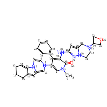 Cn1cc(N2C=Cn3c(cc4c3=CCCC4)=C2)c(-c2ccccc2)c(Nc2cc3n(n2)CCN(C2COC2)C3)c1=O